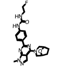 Cn1ncc2c(N3CC4CCC(C3)O4)nc(-c3ccc(NC(=O)NCCF)cc3)nc21